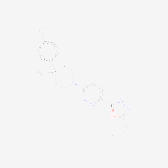 CC(=O)OCc1nnc(-c2ccc(N3CCC(C#N)(c4ccc(C(F)(F)F)cc4)CC3)nn2)o1